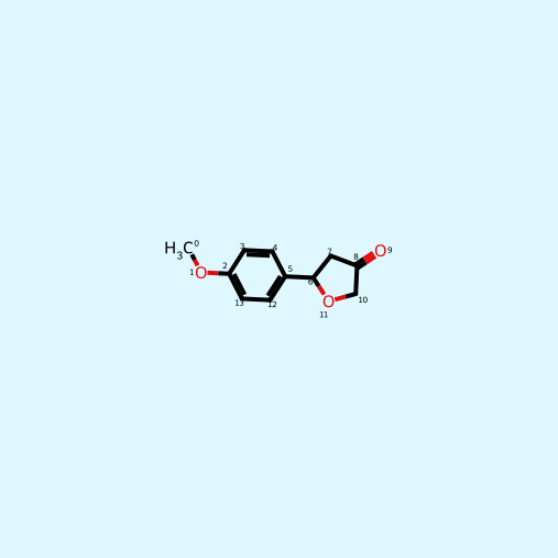 COc1ccc(C2CC(=O)CO2)cc1